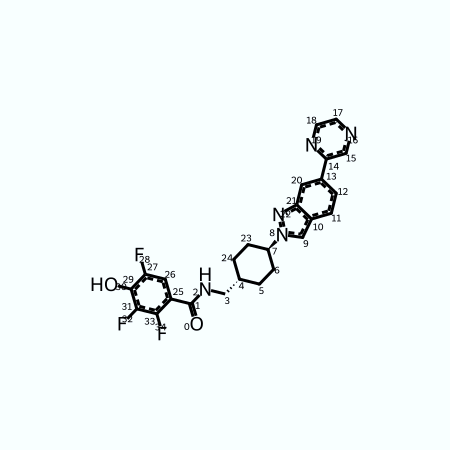 O=C(NC[C@H]1CC[C@H](n2cc3ccc(-c4cnccn4)cc3n2)CC1)c1cc(F)c(O)c(F)c1F